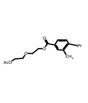 CC(=O)OCCOCCOC(=O)c1ccc(C(C)C)c(C)c1